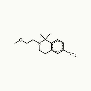 COCCN1CCc2cc(N)ccc2C1(C)C